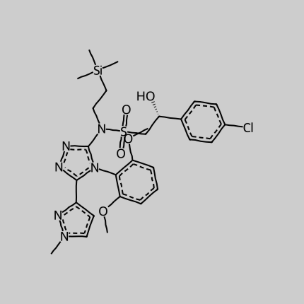 COc1cccc(OC)c1-n1c(-c2ccn(C)n2)nnc1N(CC[Si](C)(C)C)S(=O)(=O)C[C@H](O)c1ccc(Cl)cc1